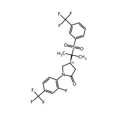 CC(C)([C@H]1CC(=O)N(c2ccc(C(F)(F)F)cc2F)C1)S(=O)(=O)c1cccc(C(F)(F)F)c1